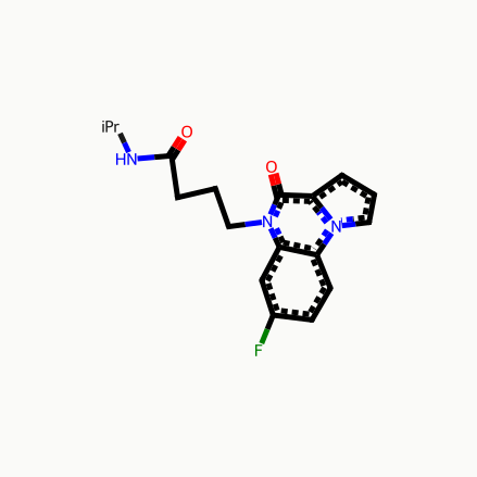 CC(C)NC(=O)CCCn1c(=O)c2cccn2c2ccc(F)cc21